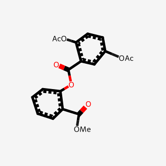 COC(=O)c1ccccc1OC(=O)c1cc(OC(C)=O)ccc1OC(C)=O